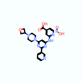 O=C(O)c1ccnc(Nc2cc(N3CCN(C4COC4)CC3)nc(-c3cccnc3)n2)c1.O=NO